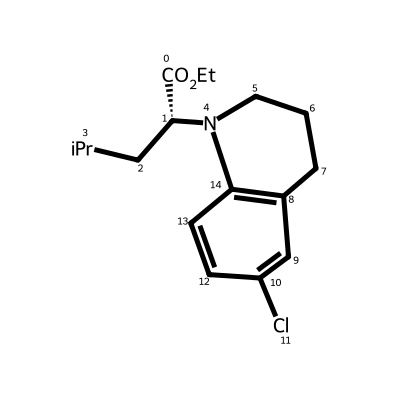 CCOC(=O)[C@@H](CC(C)C)N1CCCc2cc(Cl)ccc21